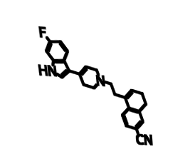 N#Cc1ccc2c(c1)CCC=C2CCN1CC=C(c2c[nH]c3cc(F)ccc23)CC1